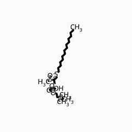 CCCCCCCCCCCCCCCCSCC(COP(=O)(O)OCC[N+](C)(C)C)[S+](C)[O-]